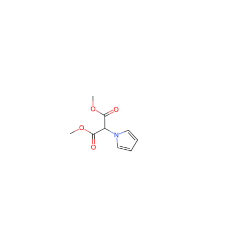 COC(=O)C(C(=O)OC)n1cccc1